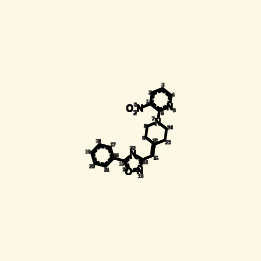 O=[N+]([O-])c1cccnc1N1CCC(=Cc2noc(-c3ccccc3)n2)CC1